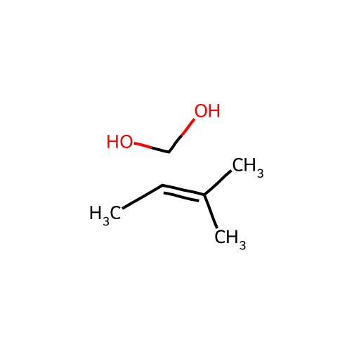 CC=C(C)C.OCO